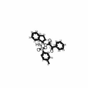 Cc1ccc(S(=O)(=O)N[C@@]2(OC(=O)C(=O)c3ccccc3)CCc3ccccc32)cc1